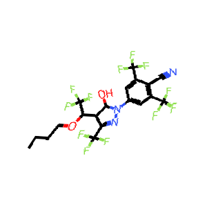 CCCCOC(C1C(C(F)(F)F)=NN(c2cc(C(F)(F)F)c(C#N)c(C(F)(F)F)c2)C1O)C(F)(F)F